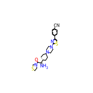 N#Cc1ccc(-c2csc(N3CCN([C@H]4CC[C@@H]([C@H](N)C(=O)N5CCSC5)CC4)CC3)n2)cc1